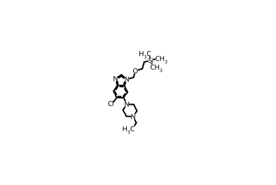 CCN1CCN(c2cc3c(cc2Cl)ncn3COCC[Si](C)(C)C)CC1